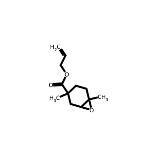 C=CCOC(=O)C1(C)CCC2(C)OC2C1